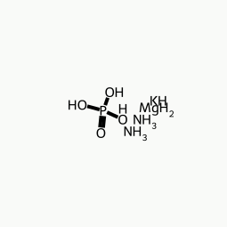 N.N.O=P(O)(O)O.[KH].[MgH2]